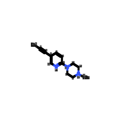 CCC#Cc1ccc(N2CCN(CCCC)CC2)nc1